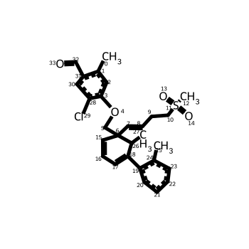 Cc1cc(OCC2(/C=C/CCS(C)(=O)=O)C=CC=C(c3ccccc3C)C2C)c(Cl)cc1C=O